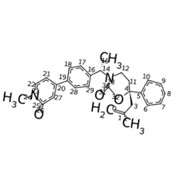 C=C(C)C[C@]1(c2ccccc2)CCN([C@@H](C)c2ccc(-c3ccn(C)c(=O)c3)cc2)C(=O)O1